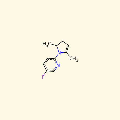 CC1=CCC(C)N1c1ccc(I)cn1